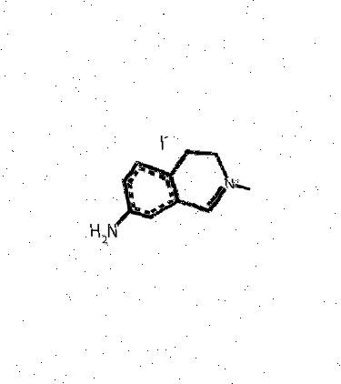 C[N+]1=Cc2cc(N)ccc2CC1.[I-]